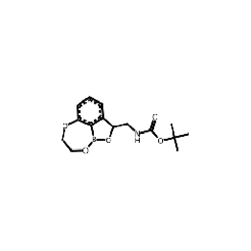 CC(C)(C)OC(=O)NCC1OB2OCCOc3cccc1c32